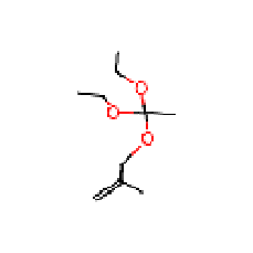 C=C(C)COC(C)(OCC)OCC